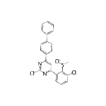 C[S+]([O-])c1c(Cl)cccc1-c1cc(-c2ccc(-c3ccccc3)cc2)nc(Cl)n1